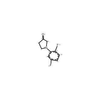 O=C1CCN(c2cc(F)ccc2F)C1